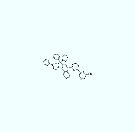 N#Cc1cncc(-c2cccc(-c3cc4c(c5ccccc35)-c3ccc(-c5ccccc5)cc3C4(c3ccccc3)c3ccccc3)n2)c1